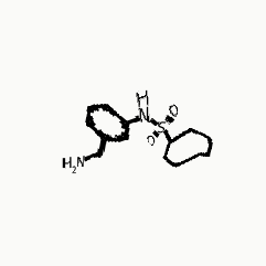 NCc1cccc(NS(=O)(=O)C2CCCCC2)c1